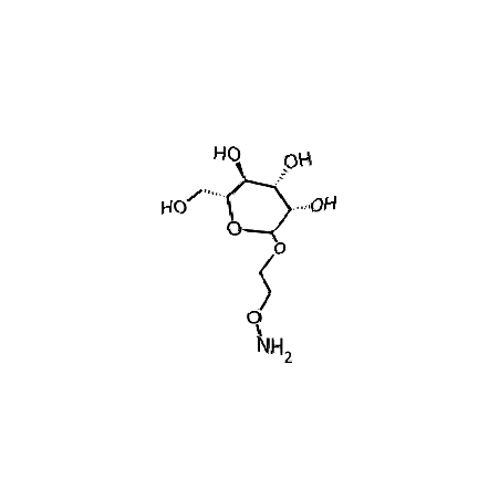 NOCCOC1O[C@H](CO)[C@@H](O)[C@H](O)[C@@H]1O